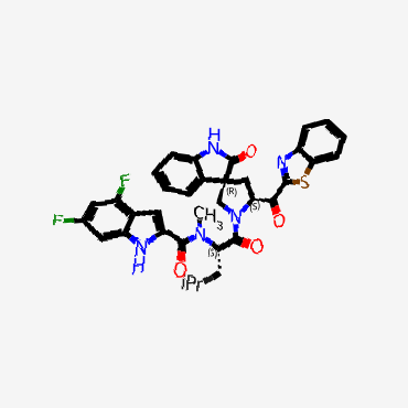 CC(C)C[C@@H](C(=O)N1C[C@]2(C[C@H]1C(=O)c1nc3ccccc3s1)C(=O)Nc1ccccc12)N(C)C(=O)c1cc2c(F)cc(F)cc2[nH]1